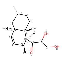 C[C@@H]1CC[C@H]2[C@@H](C=C[C@H](C)[C@]2(C)C(=O)C(O)CO)C1